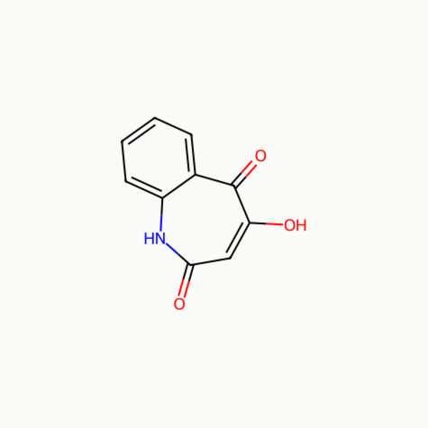 O=c1cc(O)c(=O)c2ccccc2[nH]1